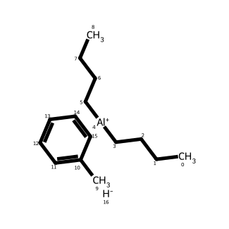 CCC[CH2][Al+][CH2]CCC.Cc1ccccc1.[H-]